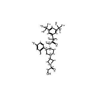 Cc1cc(F)ccc1[C@@H]1CN(C2CN(C(=O)CO)C2)CC[C@H]1N(C)C(=O)C(C)(C)c1cc(C(F)(F)F)cc(C(F)(F)F)c1